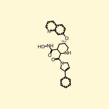 O=C(NO)C1C[C@H](Oc2ccc3cccnc3c2)CNC1C(=O)N1CC=C(c2ccccc2)C1